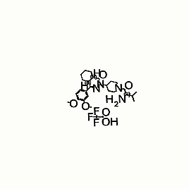 COc1ccc(C2=NN(C3CCN(C(=O)[C@H](N)C(C)C)CC3)C(=O)[C@@H]3CCCC[C@H]23)cc1OC.O=C(O)C(F)(F)F